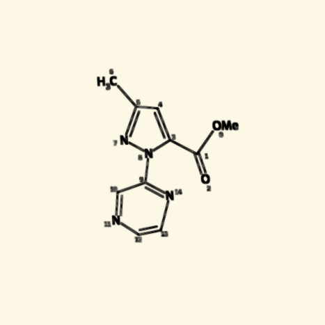 COC(=O)c1cc(C)nn1-c1cnccn1